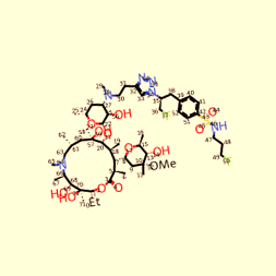 CC[C@H]1OC(=O)[C@H](C)[C@@H](C2C[C@@](C)(OC)[C@@H](O)[C@H](C)O2)[C@H](C)[C@@H](O[C@@H]2O[C@H](C)C[C@H](N(C)CCc3cn([C@H](CF)Cc4ccc(S(=O)(=O)NCCCF)cc4)nn3)[C@H]2O)[C@](C)(O)C[C@@H](C)CN(C)[C@H](C)[C@@H](O)[C@]1(C)O